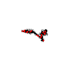 CN=Cc1ccn2c(NC)c(-c3cn4c(n3)sc3cc(OCCOCCOCCOc5cc(-c6scnc6C)ccc5CNC(=O)[C@@H]5C[C@@H](O)CN5C(=O)[C@H](C(C)C)N5Cc6ccccc6C5=O)ccc34)nc2c1